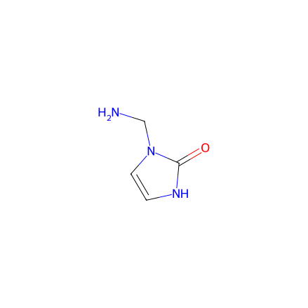 NCn1cc[nH]c1=O